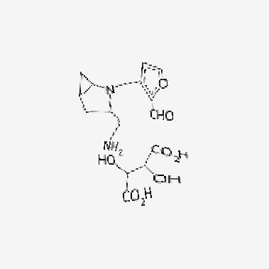 NCC1CC2CC2N1c1ccoc1C=O.O=C(O)C(O)C(O)C(=O)O